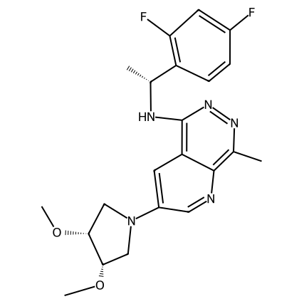 CO[C@H]1CN(c2cnc3c(C)nnc(N[C@H](C)c4ccc(F)cc4F)c3c2)C[C@H]1OC